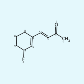 CC(=O)C=CC1=CC(F)CCC1